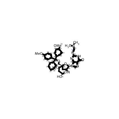 C=C1C[C@@H](O)O[C@@H]2C[C@@]1(COC(c1ccccc1)(c1ccc(OC)cc1)c1ccc(OC)cc1)O[C@H]2n1cnc2c(=O)[nH]c(/N=C/N(C)C)nc21